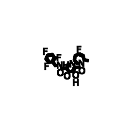 CC1C=C(F)CC2CN1C(=O)c1c(O)c(=O)c(C(=O)NCc3c(F)cc(F)cc3F)cn12